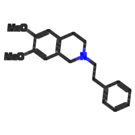 COc1cc2c(cc1OC)CN(CCc1ccccc1)CC2